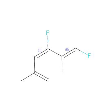 C=C(C)/C=C(F)\C(C)=C\F